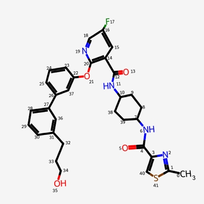 Cc1nc(C(=O)NC2CCC(NC(=O)c3cc(F)cnc3Oc3cccc(-c4cccc(CCCO)c4)c3)CC2)cs1